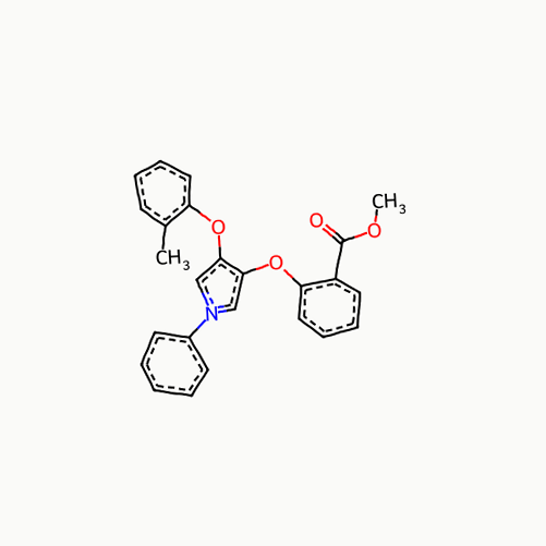 COC(=O)c1ccccc1Oc1cn(-c2ccccc2)cc1Oc1ccccc1C